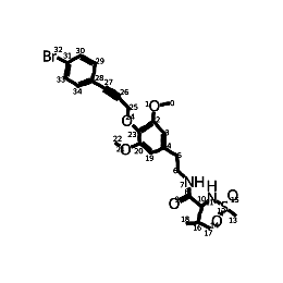 COc1cc(CCNC(=O)C(NS(C)(=O)=O)C(C)C)cc(OC)c1OCC#Cc1ccc(Br)cc1